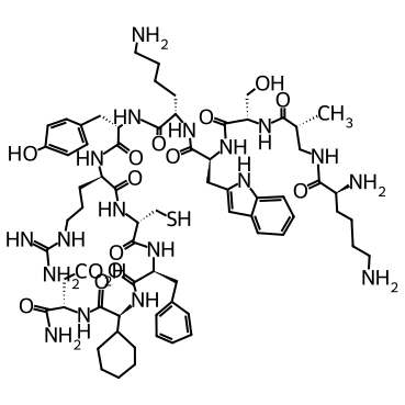 C[C@H](CNC(=O)[C@@H](N)CCCCN)C(=O)N[C@@H](CO)C(=O)N[C@@H](Cc1cc2ccccc2[nH]1)C(=O)N[C@@H](CCCCN)C(=O)N[C@@H](Cc1ccc(O)cc1)C(=O)N[C@H](CCCNC(=N)N)C(=O)N[C@H](CS)C(=O)N[C@@H](Cc1ccccc1)C(=O)N[C@H](C(=O)N[C@@H](CC(=O)O)C(N)=O)C1CCCCC1